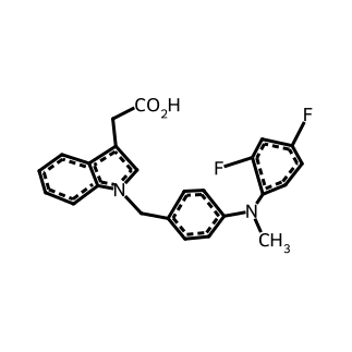 CN(c1ccc(Cn2cc(CC(=O)O)c3ccccc32)cc1)c1ccc(F)cc1F